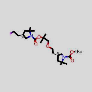 CC(C)(C)OC(=O)N1C[C@@H](CCOCC(C)(C)OC(=O)N2C[C@@H](CCI)CC2(C)C)CC1(C)C